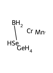 B[SeH].[Cr].[GeH4].[Mn]